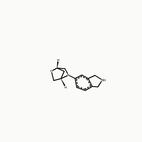 c1cc2c(cc1N1C[C@@H]3C[C@H]1CO3)CNC2